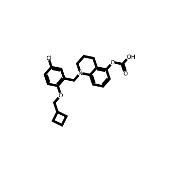 O=C(O)Oc1cccc2c1CCCN2Cc1cc(Cl)ccc1OCC1CCC1